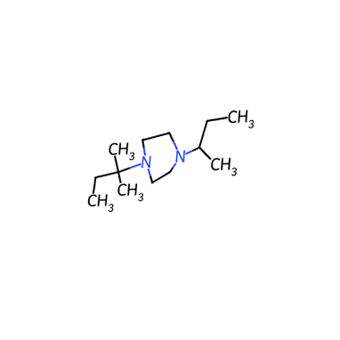 CCC(C)N1CCN(C(C)(C)CC)CC1